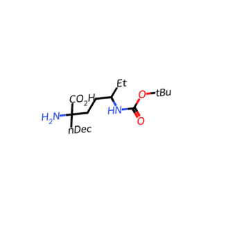 CCCCCCCCCCC(N)(CCC(CC)NC(=O)OC(C)(C)C)C(=O)O